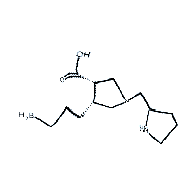 BCCC[C@H]1CN(CC2CCCN2)C[C@H]1C(=O)O